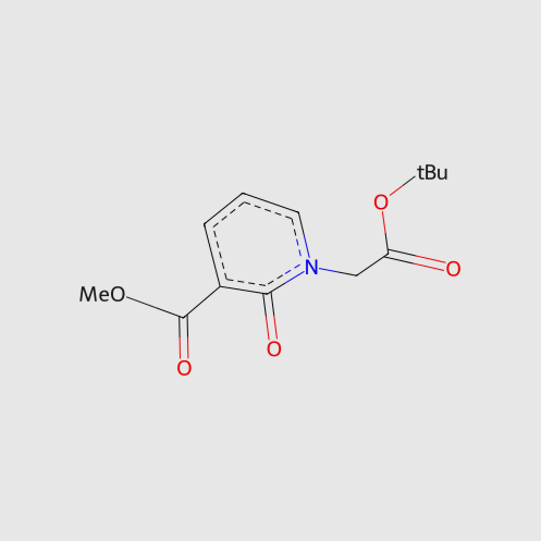 COC(=O)c1cccn(CC(=O)OC(C)(C)C)c1=O